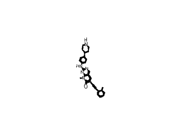 Cc1ccccc1C#Cc1cc2cnc(Nc3ccc(C4CCNCC4)cc3)nc2n(C)c1=O